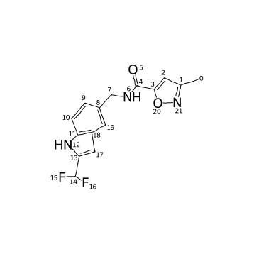 Cc1cc(C(=O)NCc2ccc3[nH]c(C(F)F)cc3c2)on1